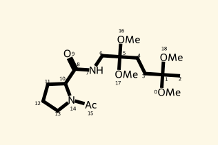 COC(C)(CCC(CNC(=O)C1CCCN1C(C)=O)(OC)OC)OC